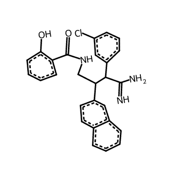 N=C(N)C(c1cccc(Cl)c1)C(CNC(=O)c1ccccc1O)c1ccc2ccccc2c1